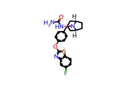 NC(=O)N[C@@H]1C[C@H]2CC[C@@H](C1)N2Cc1ccc(Oc2nc3cc(F)ccc3s2)cc1